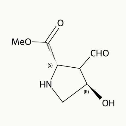 COC(=O)[C@H]1NC[C@H](O)C1C=O